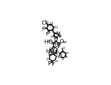 CO[C@H]1C[SH]([C@H](c2ncccc2C)C2(O)CCC(F)(F)CC2)[C@H](CO)[C@H](O)[C@@H]1n1cc(-c2ccc(Cl)c(F)c2F)nn1